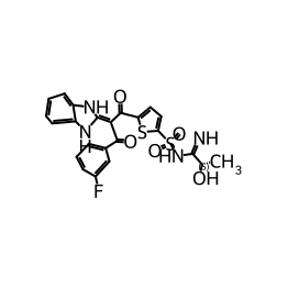 C[C@H](O)C(=N)NS(=O)(=O)c1ccc(C(=O)C(C(=O)c2cccc(F)c2)=C2Nc3ccccc3N2)s1